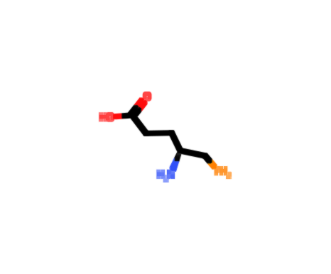 N[C@H](CP)CCC(=O)O